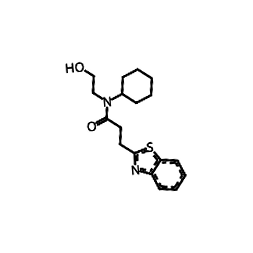 O=C(CCc1nc2ccccc2s1)N(CCO)C1CCCCC1